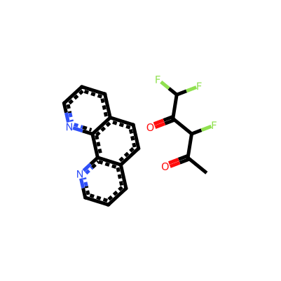 CC(=O)C(F)C(=O)C(F)F.c1cnc2c(c1)ccc1cccnc12